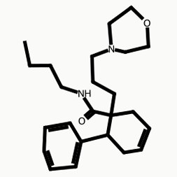 CCCCNC(=O)C1(CCCN2CCOCC2)CC=CCC1c1ccccc1